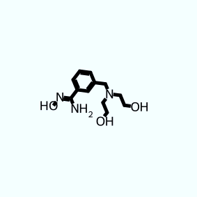 N/C(=N\O)c1cccc(CN(CCO)CCO)c1